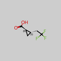 O=C(O)[C@@H]1C[C@H]1CC(F)(F)F